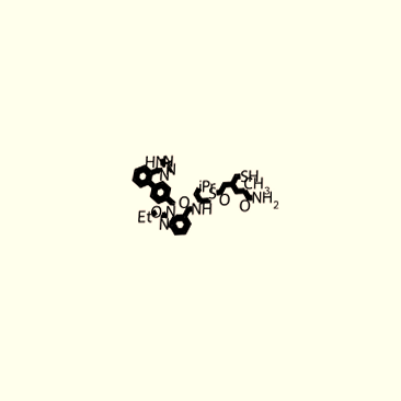 CCOc1nc2cccc(C(=O)NC(CSC(=O)CC(CS)CC(C)C(N)=O)CC(C)C)c2n1Cc1ccc(-c2ccccc2-c2nnn[nH]2)cc1